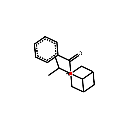 CC(C)N1CC2CC(C1)C2NC(=O)c1ccccc1